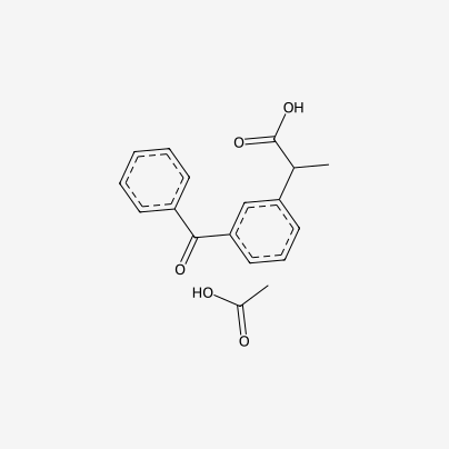 CC(=O)O.CC(C(=O)O)c1cccc(C(=O)c2ccccc2)c1